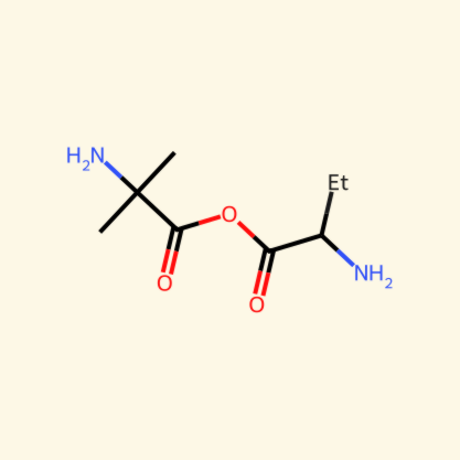 CCC(N)C(=O)OC(=O)C(C)(C)N